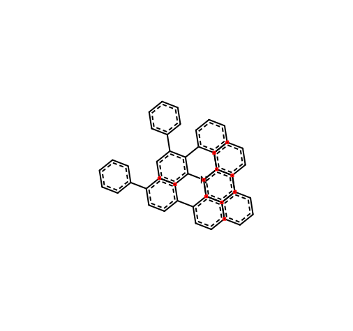 c1ccc(-c2ccc(-c3ccccc3N(c3ccccc3-c3ccccc3)c3cccc(-c4ccccc4)c3-c3ccccc3-c3ccccc3)cc2)cc1